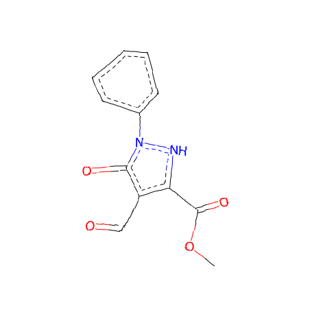 COC(=O)c1[nH]n(-c2ccccc2)c(=O)c1C=O